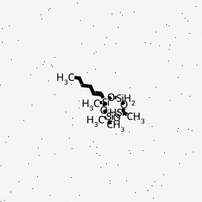 CCCCC=C[Si]1(C)O[SiH2]O[SiH](C)O[Si](C)(C)O1